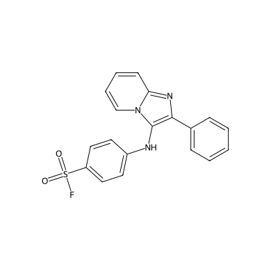 O=S(=O)(F)c1ccc(Nc2c(-c3ccccc3)nc3ccccn23)cc1